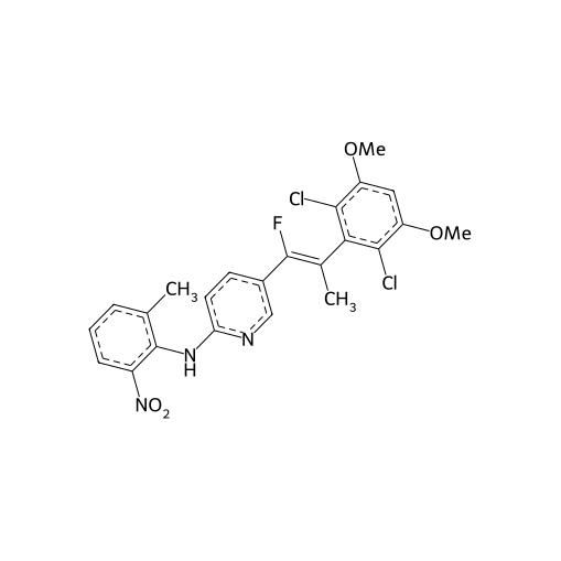 COc1cc(OC)c(Cl)c(/C(C)=C(\F)c2ccc(Nc3c(C)cccc3[N+](=O)[O-])nc2)c1Cl